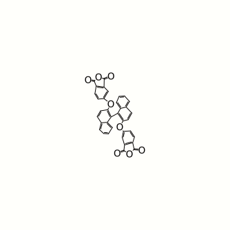 O=C1OC(=O)c2cc(Oc3ccc4ccccc4c3-c3c(Oc4ccc5c(c4)C(=O)OC5=O)ccc4ccccc34)ccc21